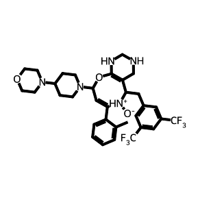 Cc1ccccc1/C1=C/C(N2CCC(N3CCOCC3)CC2)OC2=C(CNCN2)C(Cc2cc(C(F)(F)F)cc(C(F)(F)F)c2)[NH+]1[O-]